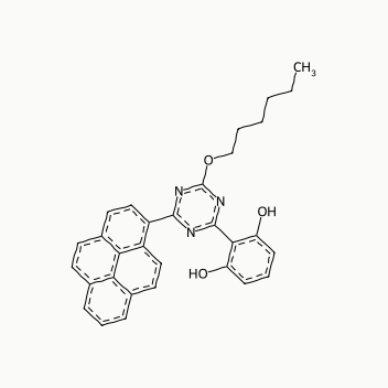 CCCCCCOc1nc(-c2c(O)cccc2O)nc(-c2ccc3ccc4cccc5ccc2c3c45)n1